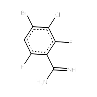 N=C(N)c1c(F)cc(Br)c(Cl)c1F